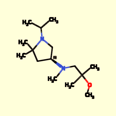 COC(C)(C)CN(C)[C@@H]1CN(C(C)C)C(C)(C)C1